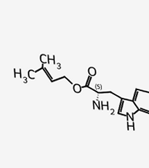 CC(C)=CCOC(=O)[C@@H](N)Cc1c[nH]c2ccccc12